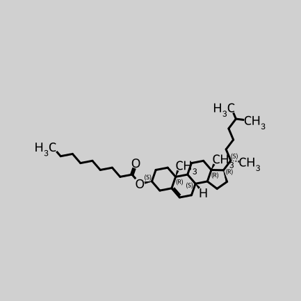 CCCCCCCCC(=O)O[C@H]1CC[C@@]2(C)C(=CC[C@@H]3C2CC[C@@]2(C)C3CC[C@@H]2[C@@H](C)CCCC(C)C)C1